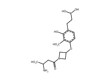 NC(CC(=O)N1CC(Oc2ccc(CCB(O)O)c(O)c2C(=O)O)C1)C(=O)O